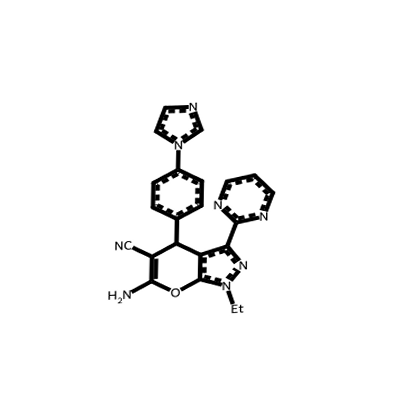 CCn1nc(-c2ncccn2)c2c1OC(N)=C(C#N)C2c1ccc(-n2ccnc2)cc1